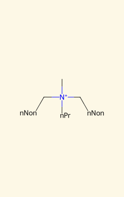 CCCCCCCCCC[N+](C)(CCC)CCCCCCCCCC